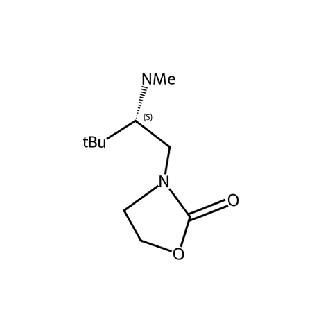 CN[C@H](CN1CCOC1=O)C(C)(C)C